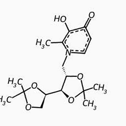 Cc1c(O)c(=O)ccn1C[C@@H]1OC(C)(C)O[C@H]1[C@H]1COC(C)(C)O1